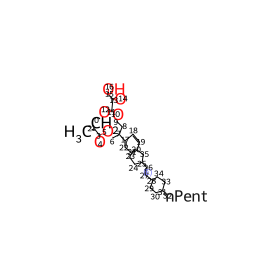 C=C(C)C(=O)OCC(CCOC(=O)C(=O)CO)c1ccc2c(c1)CCC(/C=C/C1CCC(CCCCC)CC1)C2